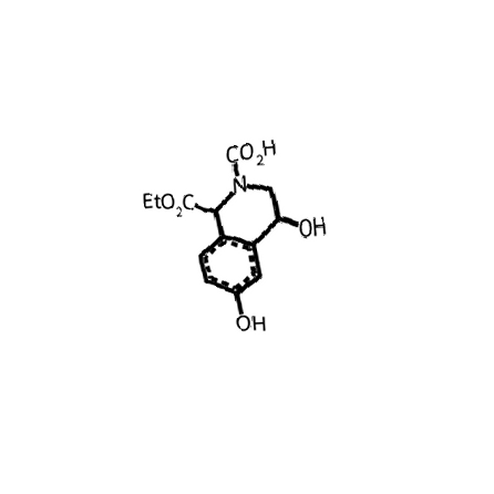 CCOC(=O)C1c2ccc(O)cc2C(O)CN1C(=O)O